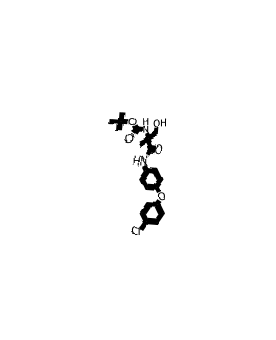 CC(C)(C)OC(=O)NC(C)(CO)C(=O)Nc1ccc(Oc2ccc(Cl)cc2)cc1